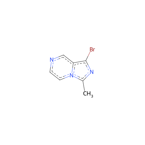 Cc1nc(Br)c2cnccn12